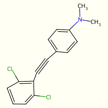 CN(C)c1ccc(C#Cc2c(Cl)cccc2Cl)cc1